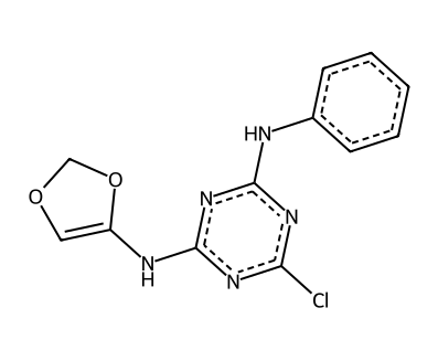 Clc1nc(NC2=COCO2)nc(Nc2ccccc2)n1